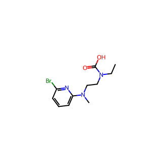 CCN(CCN(C)c1cccc(Br)n1)C(=O)O